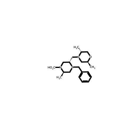 C[C@@H]1CO[C@@H](C)CN1C[C@H]1CN(C(=O)O)[C@H](C)CN1Cc1ccccc1